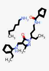 CCCCCCN.CCc1ccccc1NC=C1C(=O)N(C(CC)CCCNC(=O)c2ccccc2)N=C1C